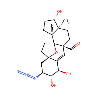 C[C@]12CC[C@]3(C=O)C=C4[C@@H](O)[C@H](O)[C@@H](N=[N+]=[N-])C[C@]45CC[C@]3(O5)[C@@H]1CC[C@@H]2O